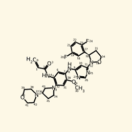 C=CC(=O)Nc1cc(Nc2cc(N3OCC[C@@H]3c3cc(F)ccc3F)ncn2)c(OC)cc1N1CC[C@H](N2CCOCC2)C1